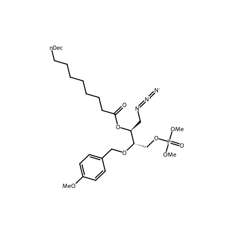 CCCCCCCCCCCCCCCCCC(=O)O[C@@H](CN=[N+]=[N-])[C@H](COP(=O)(OC)OC)OCc1ccc(OC)cc1